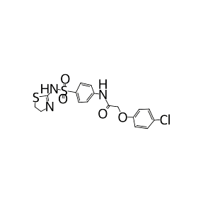 O=C(COc1ccc(Cl)cc1)Nc1ccc(S(=O)(=O)NC2=NCCS2)cc1